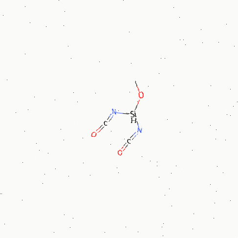 CO[SiH](N=C=O)N=C=O